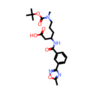 Cc1nc(-c2cccc(C(=O)NC(CCCN(C)C(=O)OC(C)(C)C)CC(=O)O)c2)no1